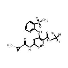 [2H]C([2H])([2H])NC(=O)c1nnc(NC(=O)[C@H]2C[C@@H]2C)cc1Nc1ncccc1S(C)(=O)=O